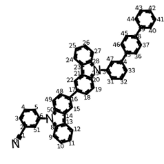 N#Cc1cccc(-n2c3ccccc3c3cc(-c4ccc5c(c4)c4ccccc4n5-c4cccc(-c5ccc(-c6ccccc6)cc5)c4)ccc32)c1